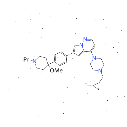 COC1(c2ccc(-c3cc4c(N5CCN(CC6C[C@@H]6F)CC5)ccnn4c3)cc2)CCN(C(C)C)CC1